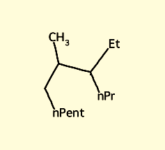 CCCCCCC(C)[C](CC)CCC